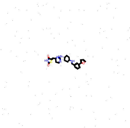 O=C1NC(=O)/C(=C/C2CC=NC(N[C@H]3CC[C@H](NCc4cccc(-c5ccco5)c4)CC3)=N2)S1